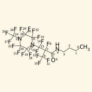 CCCCNC(=O)C(F)(C(F)(F)F)C(F)(F)N1C(F)(F)C(F)(F)N(C(F)(F)F)C(F)(F)C1(F)F